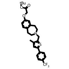 Cc1cc(-c2ccc(C(F)(F)F)cc2)sc1CN1CCc2ccc(OCC(=O)OC(C)(C)C)cc2CC1